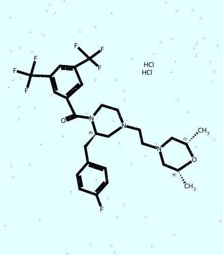 C[C@@H]1CN(CCN2CCN(C(=O)c3cc(C(F)(F)F)cc(C(F)(F)F)c3)[C@H](Cc3ccc(F)cc3)C2)C[C@H](C)O1.Cl.Cl